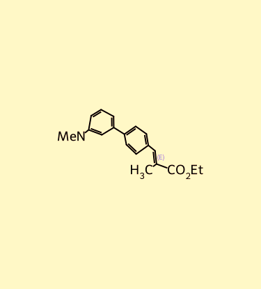 CCOC(=O)/C(C)=C/c1ccc(-c2cccc(NC)c2)cc1